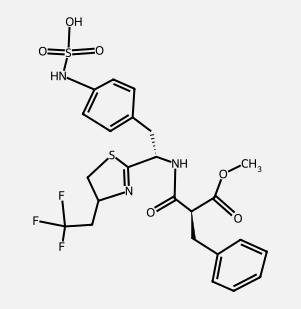 COC(=O)[C@@H](Cc1ccccc1)C(=O)N[C@@H](Cc1ccc(NS(=O)(=O)O)cc1)C1=NC(CC(F)(F)F)CS1